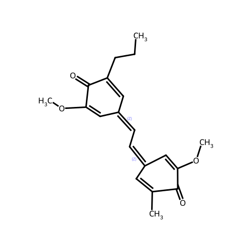 CCCC1=C/C(=C/C=C2/C=C(C)C(=O)C(OC)=C2)C=C(OC)C1=O